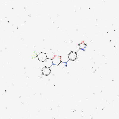 Cc1ccc(N(CC(=O)Nc2ccc(-c3cocn3)cc2)C(=O)C2CCC(F)(F)CC2)cc1